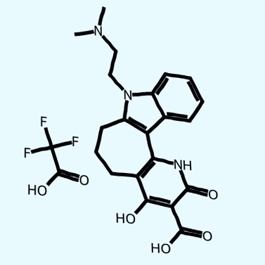 CN(C)CCn1c2c(c3ccccc31)-c1[nH]c(=O)c(C(=O)O)c(O)c1CCC2.O=C(O)C(F)(F)F